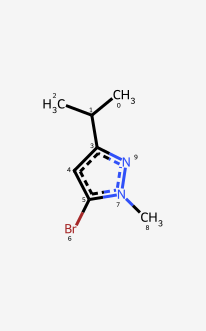 CC(C)c1cc(Br)n(C)n1